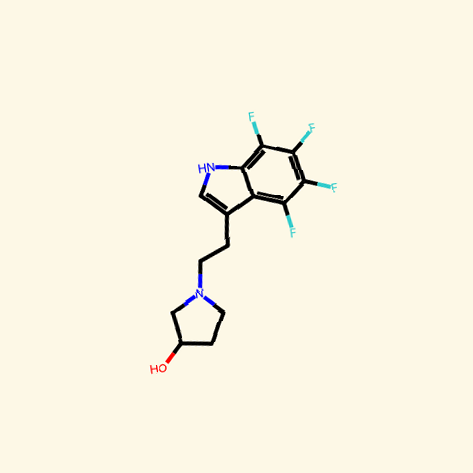 OC1CCN(CCc2c[nH]c3c(F)c(F)c(F)c(F)c23)C1